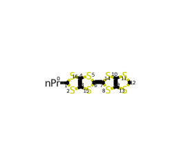 CCCC1SC2=C(SC(=C3SC4=C(SCS4)S3)S2)S1